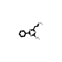 C=CCc1nc(C)nc(-c2ccccc2)n1